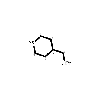 CC(C)CC1CCSCC1